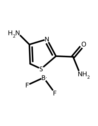 F[B]F.NC(=O)c1nc(N)cs1